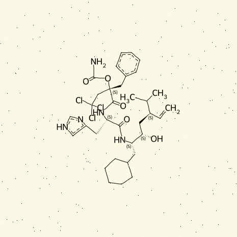 C=C[C@@H](C[C@H](O)[C@H](CC1CCCCC1)NC(=O)[C@H](Cc1c[nH]cn1)NC(=O)[C@](Cc1ccccc1)(CC(Cl)(Cl)Cl)OC(N)=O)C(C)C